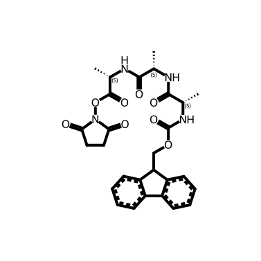 C[C@H](NC(=O)OCC1c2ccccc2-c2ccccc21)C(=O)N[C@@H](C)C(=O)N[C@@H](C)C(=O)ON1C(=O)CCC1=O